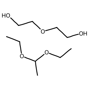 CCOC(C)OCC.OCCOCCO